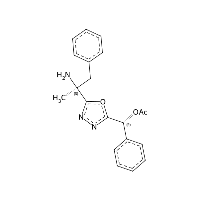 CC(=O)O[C@H](c1ccccc1)c1nnc([C@@](C)(N)Cc2ccccc2)o1